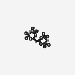 O=S1(=O)CS(=O)(=O)OC(CC2OS(=O)(=O)CS(=O)(=O)O2)O1